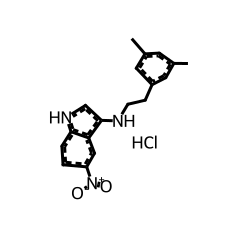 Cc1cc(C)cc(CCNc2c[nH]c3ccc([N+](=O)[O-])cc23)c1.Cl